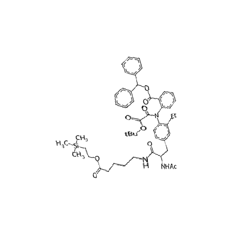 CCc1cc(CC(NC(C)=O)C(=O)NCCCCC(=O)OCC[Si](C)(C)C)ccc1N(C(=O)C(=O)OC(C)(C)C)c1ccccc1C(=O)OC(c1ccccc1)c1ccccc1